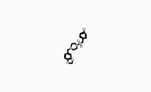 O=S(=O)(Cc1ccc(Cl)cc1)N1CCN(Cc2ccc3c(c2)OCO3)CC1